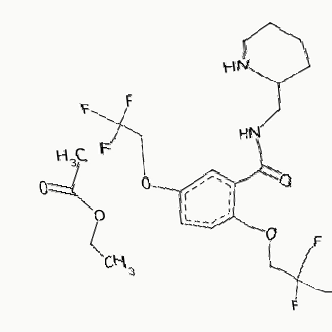 CCOC(C)=O.O=C(NCC1CCCCN1)c1cc(OCC(F)(F)F)ccc1OCC(F)(F)F